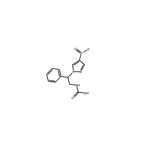 O=C(O)NCC(c1ccccc1)n1cc([N+](=O)[O-])cn1